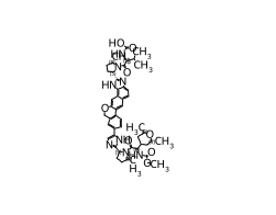 COC(=O)N[C@@H](C(=O)N1[C@@H](C)CC[C@H]1c1ncc(-c2ccc3c(c2)COc2cc4c(ccc5nc([C@@H]6CC[C@H](C)N6C(=O)[C@@H](NC(=O)O)C(C)C)[nH]c54)cc2-3)[nH]1)C1C[C@@H](C)O[C@H](C)C1